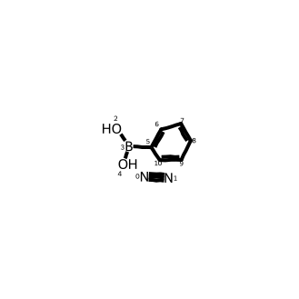 N#N.OB(O)c1ccccc1